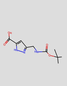 CC(C)(C)OC(=O)NCc1cc(C(=O)O)[nH]n1